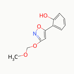 COCOc1cc(-c2ccccc2O)on1